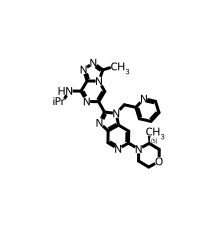 Cc1nnc2c(NC(C)C)nc(-c3nc4cnc(N5CCOC[C@@H]5C)cc4n3Cc3ccccn3)cn12